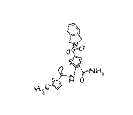 Cc1ccc(C(=O)Nc2sc(S(=O)(=O)N3Cc4ccccc4C3)cc2C(N)=O)s1